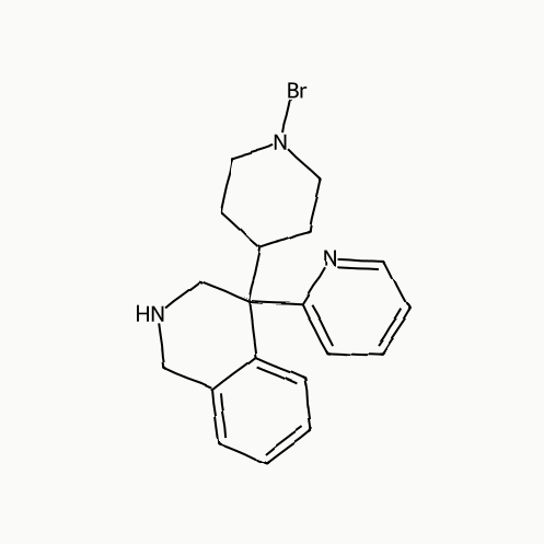 BrN1CCC(C2(c3ccccn3)CNCc3ccccc32)CC1